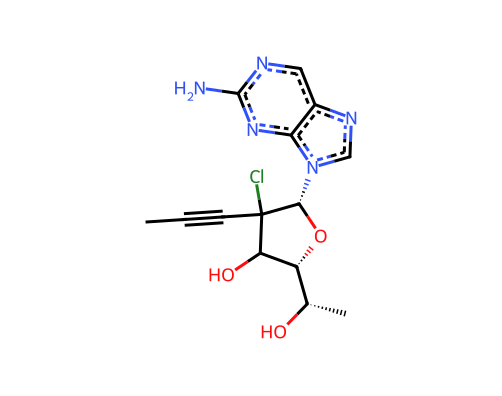 CC#CC1(Cl)C(O)[C@@H]([C@H](C)O)O[C@H]1n1cnc2cnc(N)nc21